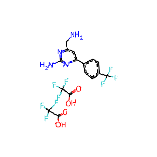 NCc1cc(-c2ccc(C(F)(F)F)cc2)nc(N)n1.O=C(O)C(F)(F)F.O=C(O)C(F)(F)F